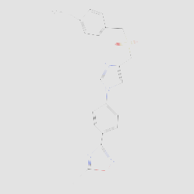 COc1ccc(CS(=O)(=O)Cc2cn(-c3ccc(-c4noc(C(F)(F)F)n4)cc3)cn2)cc1